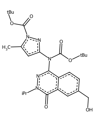 Cc1cc(N(C(=O)OC(C)(C)C)c2nn(C(C)C)c(=O)c3cc(CO)ccc23)nn1C(=O)OC(C)(C)C